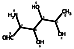 CC(O)C(O)C(O)C(N)C=O